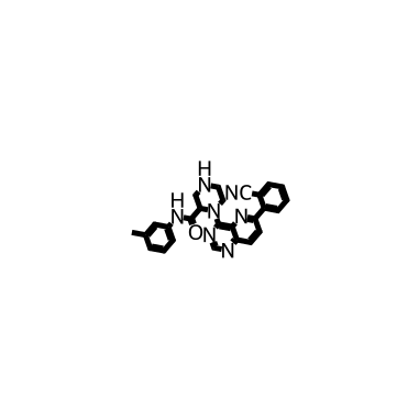 Cc1cccc(NC(=O)C2CNCCN2c2ncnc3ccc(-c4ccccc4C#N)nc23)c1